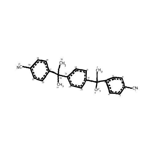 CC(C)(c1ccc(C#N)cc1)c1ccc(C(C)(C)c2ccc(C#N)cc2)cc1